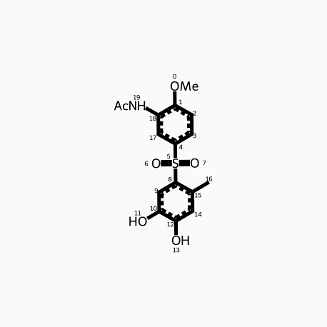 COc1ccc(S(=O)(=O)c2cc(O)c(O)cc2C)cc1NC(C)=O